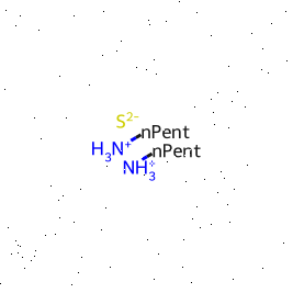 CCCCC[NH3+].CCCCC[NH3+].[S-2]